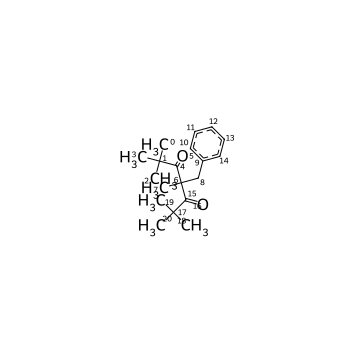 CC(C)(C)C(=O)C(C)(Cc1ccccc1)C(=O)C(C)(C)C